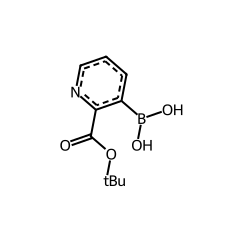 CC(C)(C)OC(=O)c1ncccc1B(O)O